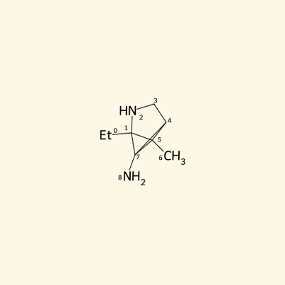 CCC12NCC3C1(C)C32N